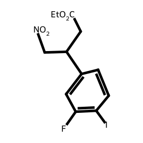 CCOC(=O)CC(C[N+](=O)[O-])c1ccc(I)c(F)c1